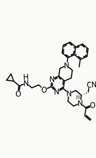 C=CC(=O)N1CCN(c2nc(OCCNC(=O)C3CC3)nc3c2CCN(c2cccc4cccc(C)c24)C3)C[C@@H]1CC#N